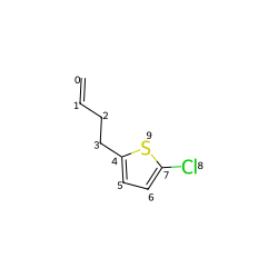 C=CCCc1ccc(Cl)s1